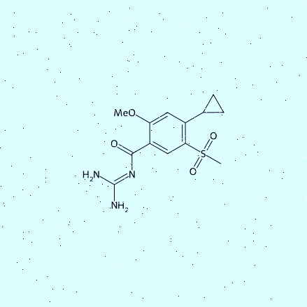 COc1cc(C2CC2)c(S(C)(=O)=O)cc1C(=O)N=C(N)N